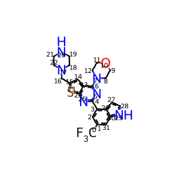 FC(F)(F)c1cc(-c2nc(N3CCOCC3)c3cc(CN4CCNCC4)sc3n2)c2cc[nH]c2c1